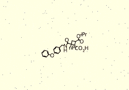 CCCC1(C(=O)NCc2ccc(Oc3ccccc3)cc2)CC(C(=O)OC(C)C)C1C(=O)O